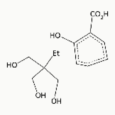 CCC(CO)(CO)CO.O=C(O)c1ccccc1O